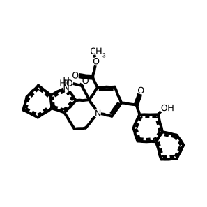 COC(=O)C1=CC(C(=O)c2ccc3ccccc3c2O)=CN2CCc3c([nH]c4ccccc34)C12C(=O)O